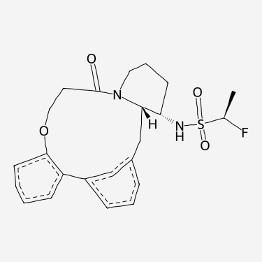 C[C@@H](F)S(=O)(=O)N[C@H]1CCCN2C(=O)CCOc3ccccc3-c3cccc(c3)C[C@@H]12